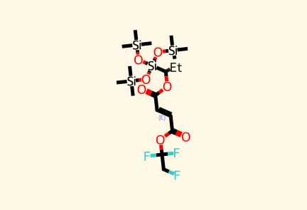 CCC(OC(=O)/C=C/C(=O)OC(F)(F)CF)[Si](O[Si](C)(C)C)(O[Si](C)(C)C)O[Si](C)(C)C